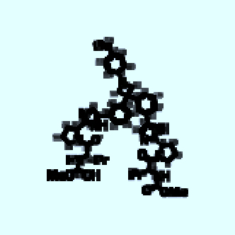 COC(=O)N[C@H](C(=O)N1CCC[C@H]1c1ncc(-c2cccc(C3(c4cccc(-c5cnc([C@@H]6CCCN6C(=O)[C@@H](NC(O)OC)C(C)C)[nH]5)c4)CN(c4ccc(C(C)(C)C)cc4)C3)c2)[nH]1)C(C)C